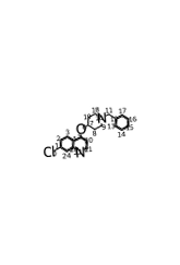 Clc1ccc2c(OC3CCN(Cc4ccccc4)CC3)ccnc2c1